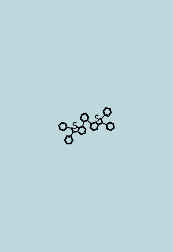 c1ccc(-c2sc3c(-c4ccccc4-c4cccc5c(-c6ccccc6)c(-c6ccccc6)sc45)cccc3c2-c2ccccc2)cc1